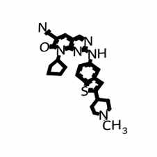 CN1CCC(c2cc3cc(Nc4ncc5cc(C#N)c(=O)n(C6CCCC6)c5n4)ccc3s2)CC1